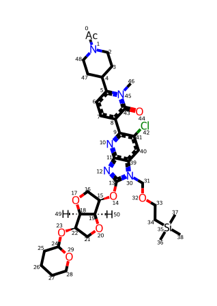 CC(=O)N1CCC(c2ccc(-c3nc4nc(O[C@@H]5CO[C@H]6[C@@H]5OC[C@H]6OC5CCCCO5)n(COCC[Si](C)(C)C)c4cc3Cl)c(=O)n2C)CC1